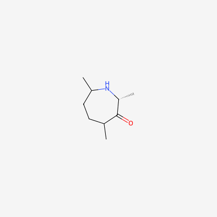 CC1CCC(C)C(=O)[C@@H](C)N1